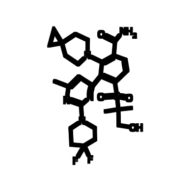 Cc1cc(-c2c(S(=O)(=O)C(C)(C)CO)ccc(C(N)=O)c2N2CCC3(CC2)CC3)nc(N2CCC(F)(F)CC2)n1